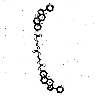 C[C@]12CC[C@H](OC(=O)OCCOC(=O)OCCOC(=O)O[C@H]3CC[C@@]4(C)C(=CC[C@@H]5[C@@H]4CC[C@]4(C)C(c6cccnc6)=CC[C@@H]54)C3)CC1=CC[C@@H]1[C@@H]2CC[C@]2(C)C(c3cccnc3)=CC[C@@H]12